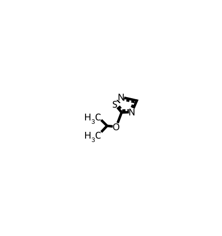 CC(C)Oc1ncns1